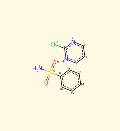 Clc1ncccn1.NS(=O)(=O)c1ccccc1